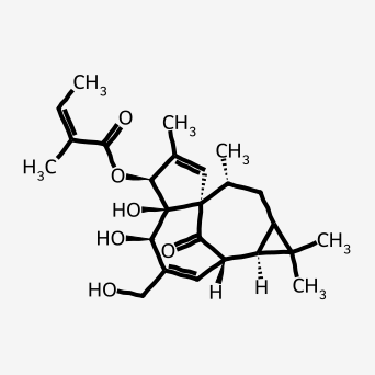 C/C=C(/C)C(=O)O[C@H]1C(C)=C[C@]23C(=O)[C@@H](C=C(CO)[C@@H](O)[C@]12O)[C@H]1C(C[C@H]3C)C1(C)C